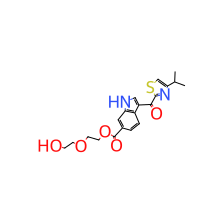 CC(C)c1csc(C(=O)c2c[nH]c3cc(C(=O)OCCOCCO)ccc23)n1